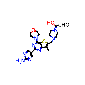 Cc1c(CN2CCN(C(O)C=O)CC2)sc2c(N3CCOCC3)nc(-c3cnc(N)nc3)nc12